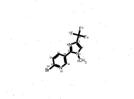 Cn1cc(C(F)(F)F)nc1-c1ccc(Br)nc1